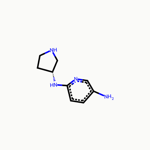 Nc1ccc(N[C@@H]2CCNC2)nc1